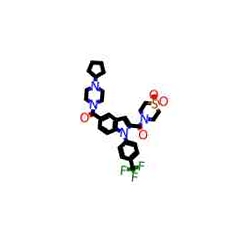 O=C(c1ccc2c(c1)cc(C(=O)N1CCS(=O)(=O)CC1)n2-c1ccc(C(F)(F)F)cc1)N1CCN(C2CCCC2)CC1